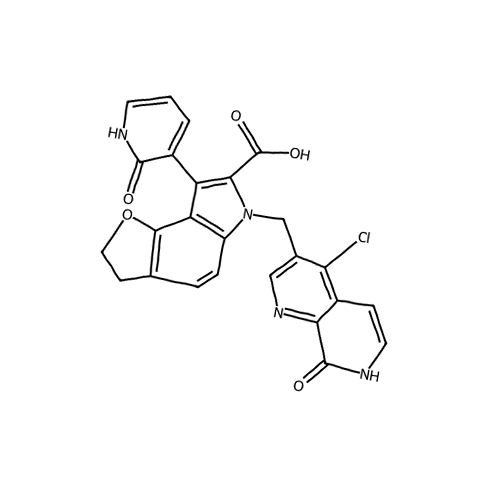 O=C(O)c1c(-c2ccc[nH]c2=O)c2c3c(ccc2n1Cc1cnc2c(=O)[nH]ccc2c1Cl)CCO3